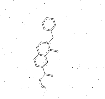 COC(=O)c1ccc2ccn(Cc3ccccc3)c(=O)c2c1